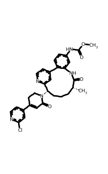 COC(=O)Nc1ccc2c(c1)NC(=O)[C@H](C)CCC[C@H](N1CCC(c3ccnc(Cl)c3)=CC1=O)c1cc-2ccn1